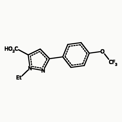 CCn1nc(-c2ccc(OC(F)(F)F)cc2)cc1C(=O)O